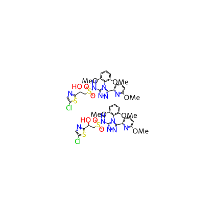 COc1cccc(-c2nnc(NS(=O)(=O)C[C@@H](O)c3ncc(Cl)s3)n2-c2c(OC)cccc2OC)n1.COc1cccc(-c2nnc(NS(=O)(=O)C[C@H](O)c3ncc(Cl)s3)n2-c2c(OC)cccc2OC)n1